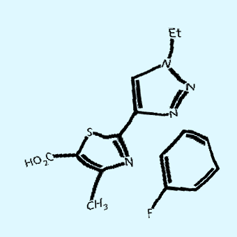 CCn1cc(-c2nc(C)c(C(=O)O)s2)nn1.Fc1ccccc1